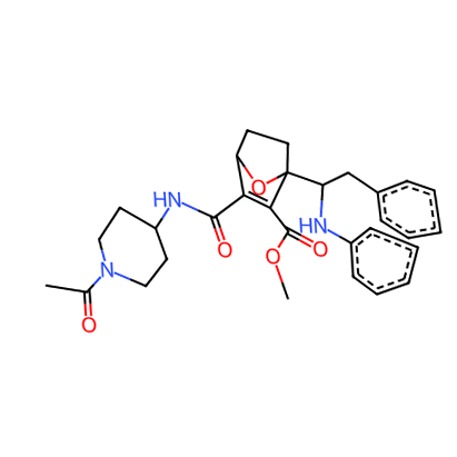 COC(=O)C1=C(C(=O)NC2CCN(C(C)=O)CC2)C2CCC1(C(Cc1ccccc1)Nc1ccccc1)O2